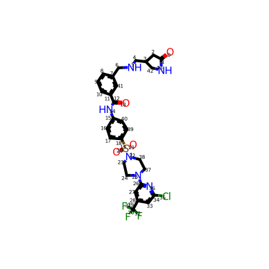 O=C1CC(CNCc2cccc(C(=O)Nc3ccc(S(=O)(=O)N4CCN(c5cc(C(F)(F)F)cc(Cl)n5)CC4)cc3)c2)CN1